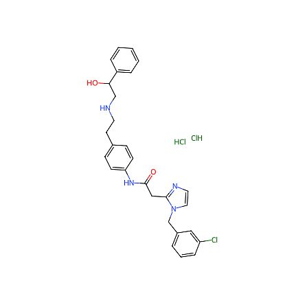 Cl.Cl.O=C(Cc1nccn1Cc1cccc(Cl)c1)Nc1ccc(CCNCC(O)c2ccccc2)cc1